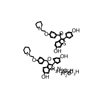 NS(=O)(=O)O.NS(=O)(=O)O.O.O=C(c1ccc(OCCN2CCCCC2)cc1)c1c(-c2ccc(O)cc2)sc2cc(O)ccc12.O=C(c1ccc(OCCN2CCCCC2)cc1)c1c(-c2ccc(O)cc2)sc2cc(O)ccc12